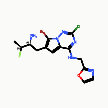 C[C@H](F)[C@H](N)Cc1cc2c(NCc3ncco3)nc(Cl)nn2c1Br